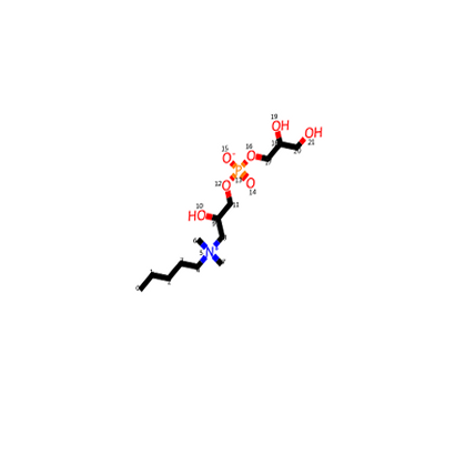 CCCCC[N+](C)(C)CC(O)COP(=O)([O-])OCC(O)CO